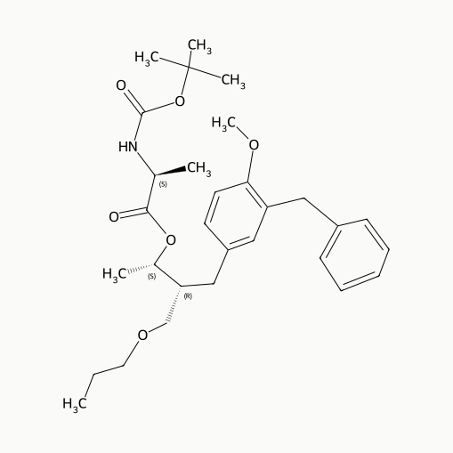 CCCOC[C@@H](Cc1ccc(OC)c(Cc2ccccc2)c1)[C@H](C)OC(=O)[C@H](C)NC(=O)OC(C)(C)C